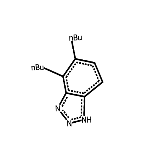 CCCCc1ccc2[nH]nnc2c1CCCC